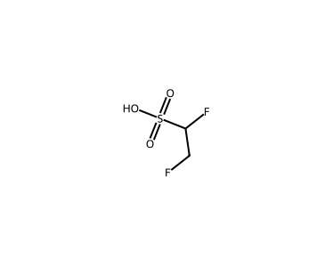 O=S(=O)(O)C(F)CF